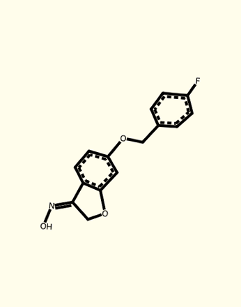 ON=C1COc2cc(OCc3ccc(F)cc3)ccc21